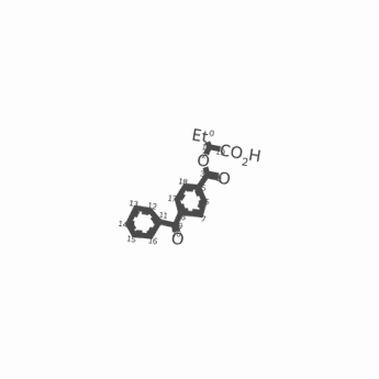 CCC(OC(=O)c1ccc(C(=O)c2ccccc2)cc1)C(=O)O